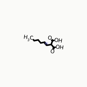 CCCC/C=C/C(C(=O)O)C(=O)O